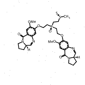 COc1cc2c(cc1OCCP(=O)(CCOc1cc3c(cc1OC)C(=O)N1CCC[C@H]1C=N3)CCS(C)=S)N=C[C@@H]1CCCN1C2=O